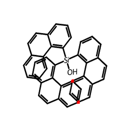 O[Si](c1cccc2ccc3ccccc3c12)(c1cccc2ccc3ccccc3c12)c1cccc2ccc3ccccc3c12